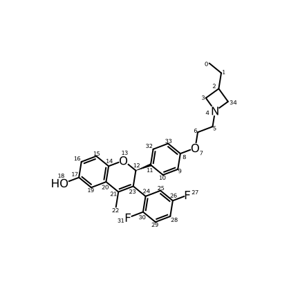 CCC1CN(CCOc2ccc([C@@H]3Oc4ccc(O)cc4C(C)=C3c3cc(F)ccc3F)cc2)C1